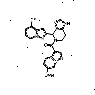 COc1ccc2c(C(=O)N3CCc4[nH]cnc4C3c3cc4c(C(F)(F)F)cccn4n3)cnn2c1